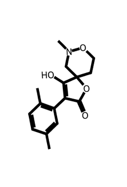 Cc1ccc(C)c(C2=C(O)C3(CCON(C)C3)OC2=O)c1